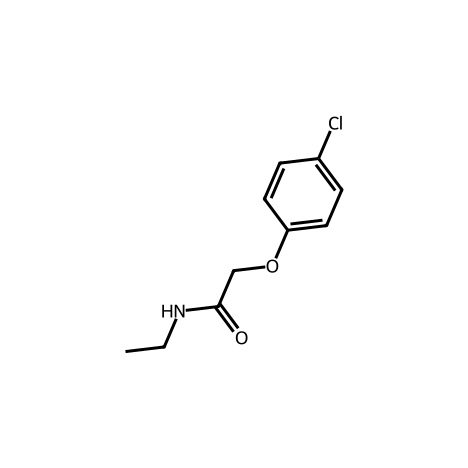 CCNC(=O)COc1ccc(Cl)cc1